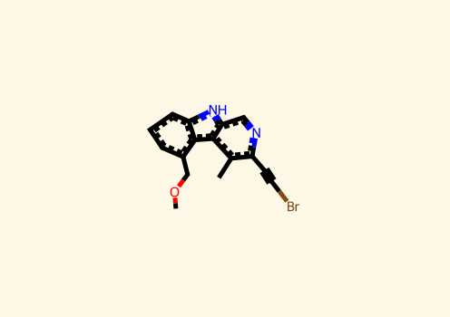 COCc1cccc2[nH]c3cnc(C#CBr)c(C)c3c12